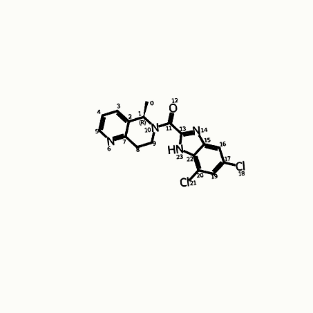 C[C@@H]1c2cccnc2CCN1C(=O)c1nc2cc(Cl)cc(Cl)c2[nH]1